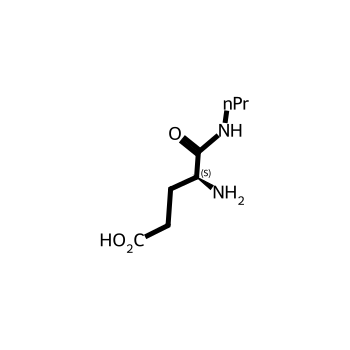 CCCNC(=O)[C@@H](N)CCC(=O)O